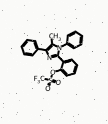 Cc1c(-c2ccccc2)nc(-c2ccccc2OS(=O)(=O)C(F)(F)F)n1-c1ccccc1